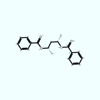 C[C@@H](C[C@H](C)OC(=O)c1ccccc1)OC(=O)c1ccccc1